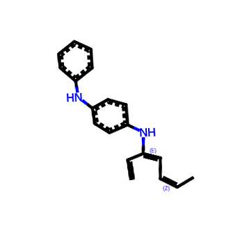 C=C/C(=C\C=C/C)Nc1ccc(Nc2ccccc2)cc1